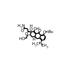 CCCCOc1ccc(N(C)C)c2c1C(=O)C1=C(O)[C@](O)(C(=O)CC(N)=O)[C@H](CCO)C[C@@H]1C2